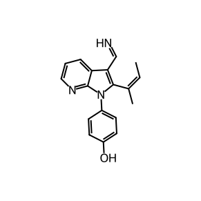 C/C=C(/C)c1c(C=N)c2cccnc2n1-c1ccc(O)cc1